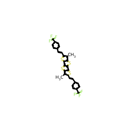 Cc1c(/C=C/c2ccc(C(F)(F)F)cc2)sc2c1sc1c3sc(/C=C/c4ccc(C(F)(F)F)cc4)c(C)c3sc21